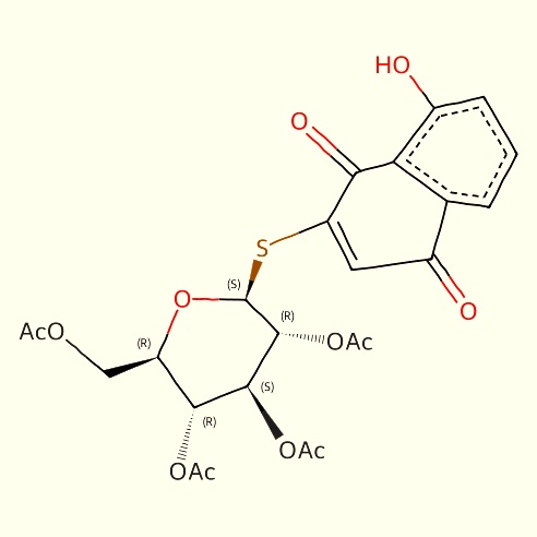 CC(=O)OC[C@H]1O[C@@H](SC2=CC(=O)c3cccc(O)c3C2=O)[C@H](OC(C)=O)[C@@H](OC(C)=O)[C@@H]1OC(C)=O